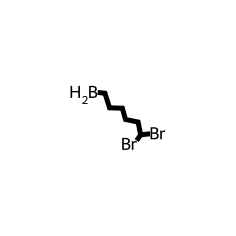 BCCCCCC(Br)Br